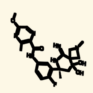 COc1cnc(C(=O)Nc2ccc(F)c([C@]3(C)CS(O)(O)C4(CN(C)C4)C(=N)N3)c2)c(C)n1